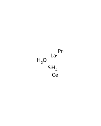 O.[Ce].[La].[Pr].[SiH4]